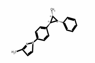 Cc1ccn(-c2ccc([C@H]3[C@H](C)[C@@H]3c3ccccc3)cc2)n1